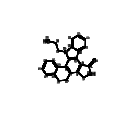 O=C1NCc2c3c(c4c(c21)c1ccccc1n4CCO)-c1ccccc1CC3